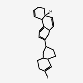 IC1=CC2CCC(C3=CC=C4C(C=C[C@H]5CCC=CC45)C3)CC2CC1